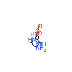 COCCOC(=O)Nc1ccc2c(c1)NCC(C)CCCC(N)c1nc-2c[nH]1